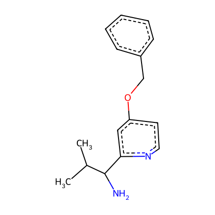 CC(C)C(N)c1cc(OCc2ccccc2)ccn1